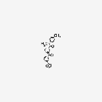 Cc1ccc(C(C)C(=O)C2CCCN(C(=O)c3cccc(-c4ccco4)c3)C2)cc1